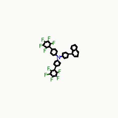 Fc1c(F)c(F)c(-c2ccc(N(c3ccc(-c4c(F)c(F)c(F)c(F)c4F)cc3)c3ccc(-c4cccc5ccccc45)cc3)cc2)c(F)c1F